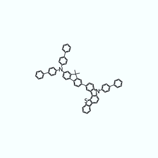 CC1(C)c2cc(-c3ccc4c(c3)c3c5sc6ccccc6c5ccc3n4-c3ccc(-c4ccccc4)cc3)ccc2-c2ccc(N(c3ccc(-c4ccccc4)cc3)c3ccc(-c4ccccc4)cc3)cc21